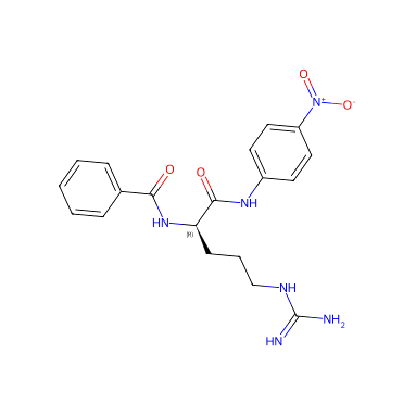 N=C(N)NCCC[C@@H](NC(=O)c1ccccc1)C(=O)Nc1ccc([N+](=O)[O-])cc1